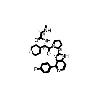 CN[C@@H](C)C(=O)N[C@H](C(=O)N1CCC[C@H]1c1nc2c(-c3ccc(F)cc3)nccc2[nH]1)C1CCOCC1